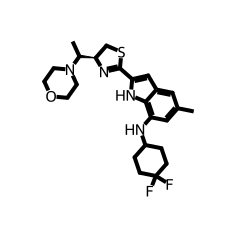 Cc1cc(NC2CCC(F)(F)CC2)c2[nH]c(C3=N[C@@H](C(C)N4CCOCC4)CS3)cc2c1